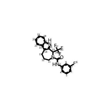 O=C(Nc1cccc(F)c1)N1CCCc2c([nH]c3ccccc23)C1C(F)(F)F